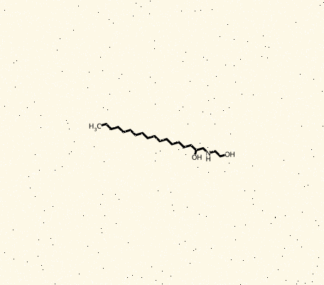 CCCCCCCCCCCCCCCCC(O)CNCCO